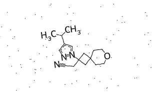 CC(C)c1cnn(C2(CC#N)CC3(CCOCC3)C2)c1